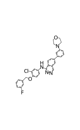 Fc1cccc(COc2ccc(Nc3nncc4cc(-c5cccc(N6CCOCC6)c5)ccc34)cc2Cl)c1